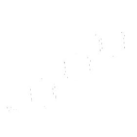 COc1ccc(N2CCN(c3ccncc3)CC2)cc1